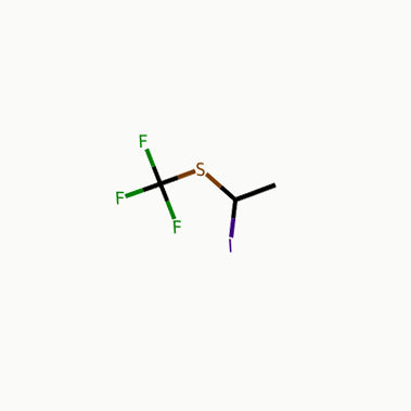 CC(I)SC(F)(F)F